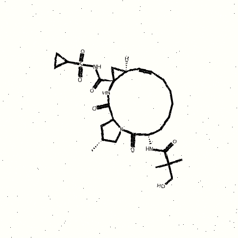 C[C@@H]1CC2C(=O)N[C@]3(C(=O)NS(=O)(=O)C4CC4)C[C@H]3/C=C\CCCCC[C@H](NC(=O)C(C)(C)CO)C(=O)N2C1